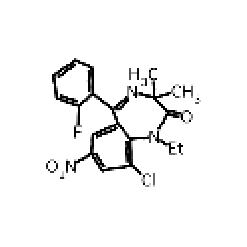 CCN1C(=O)C(C)(C)N=C(c2ccccc2F)c2cc([N+](=O)[O-])cc(Cl)c21